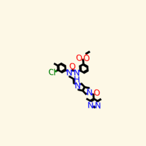 CCOC(=O)c1cccc(NC(=O)N(CCCN2CC3CN(C(=O)c4c(C)ncnc4C)CC3C2)c2ccc(C)c(Cl)c2)c1